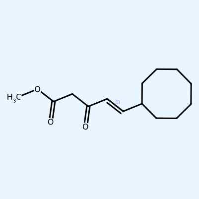 COC(=O)CC(=O)/C=C/C1CCCCCCC1